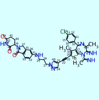 CC(=N)N1C(=N)[C@H](C)N=C(c2ccc(Cl)cc2)c2c1sc(C#Cc1cnn(CCCNc3ccc4c(c3)CN(C3CCC(=O)NC3=O)C4=O)c1)c2C